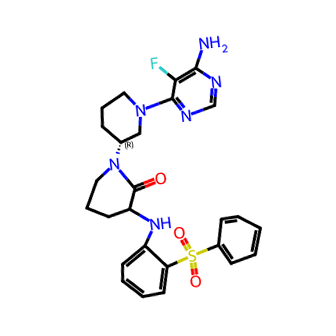 Nc1ncnc(N2CCC[C@@H](N3CCCC(Nc4ccccc4S(=O)(=O)c4ccccc4)C3=O)C2)c1F